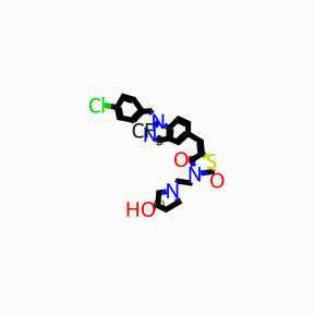 O=C1SC(=Cc2ccc3c(cnn3Cc3ccc(Cl)cc3C(F)(F)F)c2)C(=O)N1CCN1CC[C@H](O)C1